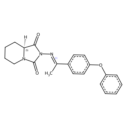 C/C(=N\N1C(=O)[C@@H]2CCCCN2C1=O)c1ccc(Oc2ccccc2)cc1